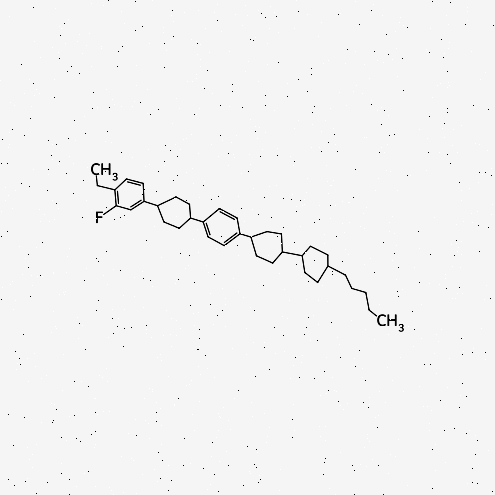 CCCCCC1CCC(C2CCC(c3ccc(C4CCC(c5ccc(CC)c(F)c5)CC4)cc3)CC2)CC1